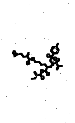 C=C(C)C(=O)N(C=C(CCCCOC(=O)C(=C)CCC1CO1)C(=O)OC(=O)C(=C)CC)CS(=O)(=O)c1ccc(C)cc1